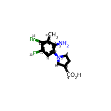 Cc1c(N)c(N2CCC(C(=O)O)C2)cc(F)c1Br